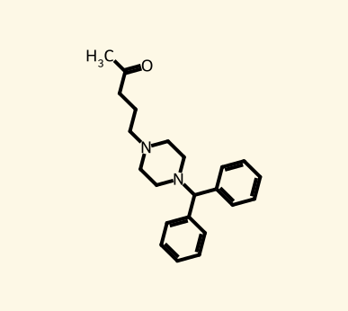 CC(=O)CCCN1CCN(C(c2ccccc2)c2ccccc2)CC1